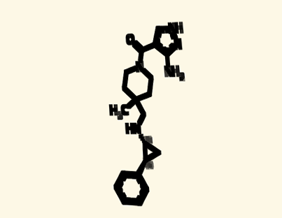 CC1(CN[C@@H]2C[C@H]2c2ccccc2)CCN(C(=O)c2c[nH]nc2N)CC1